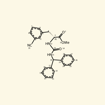 COC(=O)[C@@H](Cc1cccc(C#N)c1)NC(=O)NC(c1ccccc1)c1ccccc1